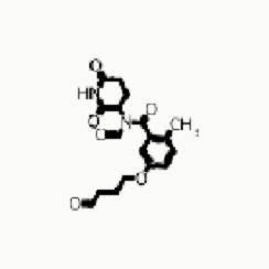 Cc1ccc(OCCCC=O)cc1C(=O)N(C=O)C1CCC(=O)NC1=O